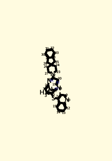 CN1C2=CC=C(Sc3ccnc4ccccc34)/C1=N/C=C/C(N1CCC3(CC1)Cc1ccccc1C3)=N\2